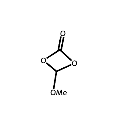 COC1OC(=O)O1